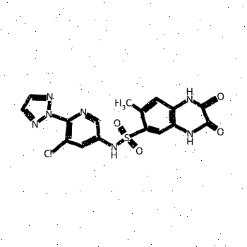 Cc1cc2[nH]c(=O)c(=O)[nH]c2cc1S(=O)(=O)Nc1cnc(-n2nccn2)c(Cl)c1